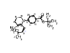 C=C(C)/C=C\C1=C(C)CCCN1c1ccc(C(=O)OC(C)(C)C)cc1